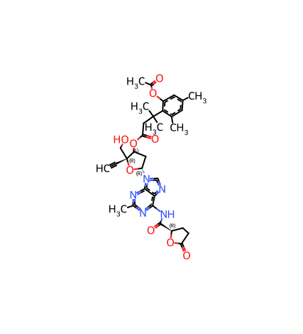 C#C[C@]1(CO)O[C@@H](n2cnc3c(NC(=O)[C@H]4CCC(=O)O4)nc(C)nc32)C[C@@H]1OC(=O)CC(C)(C)c1c(C)cc(C)cc1OC(C)=O